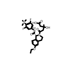 CCOc1ccc2c(c1)CCN(C(=O)CC(C)(O)CC(=O)O)[C@H]2C(=O)Nc1cc(F)c(S(C)(C)C)c(F)c1